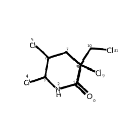 O=C1N[C](Cl)[C](Cl)CC1(Cl)CCl